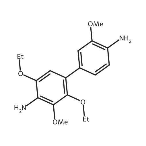 CCOc1cc(-c2ccc(N)c(OC)c2)c(OCC)c(OC)c1N